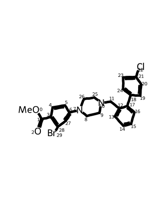 COC(=O)c1ccc(N2CCN(Cc3ccccc3-c3ccc(Cl)cc3)CC2)cc1Br